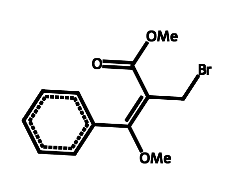 COC(=O)C(CBr)=C(OC)c1ccccc1